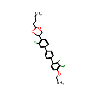 BCOc1ccc(-c2ccc(-c3ccc(C4COC(CCC=C)OC4)c(F)c3)cc2)c(F)c1F